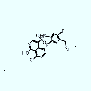 N#CCc1cc(F)c(NS(=O)(=O)c2cnc(O)c3c(Cl)cccc23)cc1F